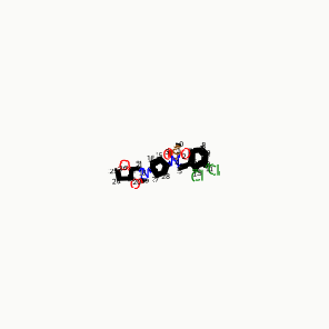 CS(=O)(=O)N(Cc1cccc(Cl)c1Cl)c1ccc(N(C=O)CC2CCCO2)cc1